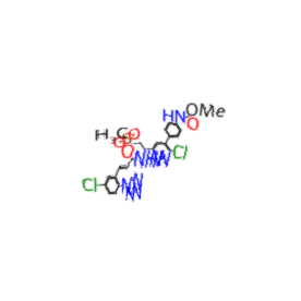 COC(=O)Nc1ccc(-c2cc(C(CCS(C)(=O)=O)NC(=O)/C=C/c3cc(Cl)ccc3-n3cnnn3)nnc2Cl)cc1